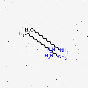 CCCCCCCCCCCCC(N)CCN.CCCCCCCCCCCCCCC(N)CCN